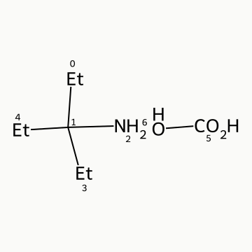 CCC(N)(CC)CC.O=C(O)O